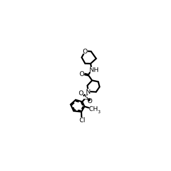 Cc1c(Cl)cccc1S(=O)(=O)N1CCCC(C(=O)NC2CCOCC2)C1